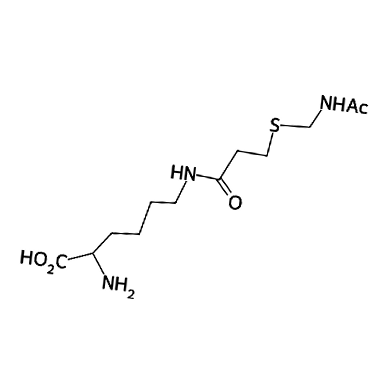 CC(=O)NCSCCC(=O)NCCCCC(N)C(=O)O